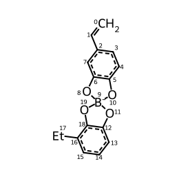 C=Cc1ccc2c(c1)O[B-]1(O2)Oc2cccc(CC)c2O1